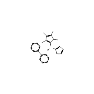 [CH2]=[Zr]([C]1=CC=CC1)[C]1=C(C)C(C)=C(C)C1C.c1ccc(-c2ccccc2)cc1